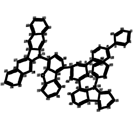 c1ccc(-c2ccc(-c3nc(-c4ccc(-n5c6cc7ccccc7cc6c6cc7ccccc7cc65)c5oc6ccccc6c45)nc(-c4cccc5c6ccccc6n(-c6ccccc6)c45)n3)cc2)cc1